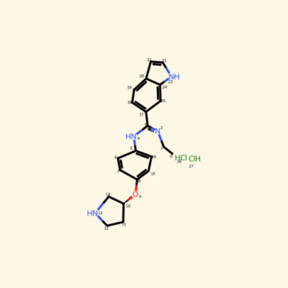 CCN=C(Nc1ccc(O[C@H]2CCNC2)cc1)c1ccc2cc[nH]c2c1.Cl.Cl